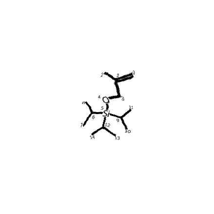 C=C(C)CO[Si](C(C)C)(C(C)C)C(C)C